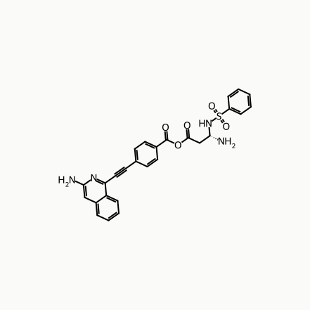 Nc1cc2ccccc2c(C#Cc2ccc(C(=O)OC(=O)C[C@@H](N)NS(=O)(=O)c3ccccc3)cc2)n1